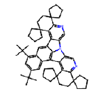 CC(C)(C)c1cc(C(C)(C)C)c2cc3c4c5c(ncc4n4c6cnc7c(c6c(c2c1)c34)C1(CCCC1)CCC71CCCC1)C1(CCCC1)CCC51CCCC1